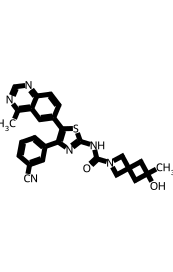 Cc1ncnc2ccc(-c3sc(NC(=O)N4CC5(C4)CC(C)(O)C5)nc3-c3cccc(C#N)c3)cc12